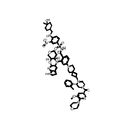 COc1cc(C(=O)N2CCN(C3CC4(CCN(c5ccc(C(=O)NS(=O)(=O)c6ccc(NCC7CCC(C)(O)CC7)c([N+](=O)[O-])c6)c(N6c7cc8cc[nH]c8nc7O[C@H]7COCC[C@@H]76)c5)CC4)C3)[C@H](c3ccccc3C)C2)cnc1N1CCOCC1